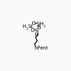 CCCCCCCCC[SiH]1O[SiH2]O[SiH2]O1